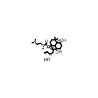 C=C[C@@H](C)CC(=O)[C@@]1(O)[C@@H](C)C[C@@H](O)[C@H]2C(C)(C)CC[C@@](O)(OC(=O)NCCN(C)C)[C@@]21C.Cl